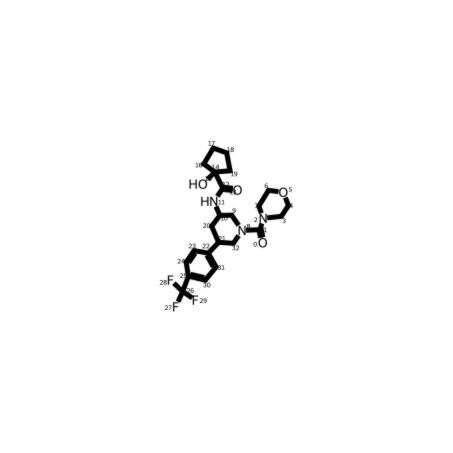 O=C(N1CCOCC1)N1CC(NC(=O)C2(O)CCCC2)CC(c2ccc(C(F)(F)F)cc2)C1